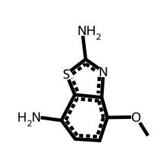 COc1ccc(N)c2sc(N)nc12